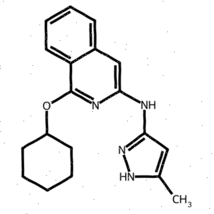 Cc1cc(Nc2cc3ccccc3c(OC3CCCCC3)n2)n[nH]1